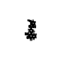 C#Cc1cccc(NC(=O)C2CCN(c3c(C#N)c(=O)n(C)c4ccccc34)CC2)n1